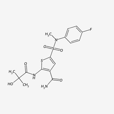 CN(c1ccc(F)cc1)S(=O)(=O)c1cc(C(N)=O)c(NC(=O)C(C)(C)O)s1